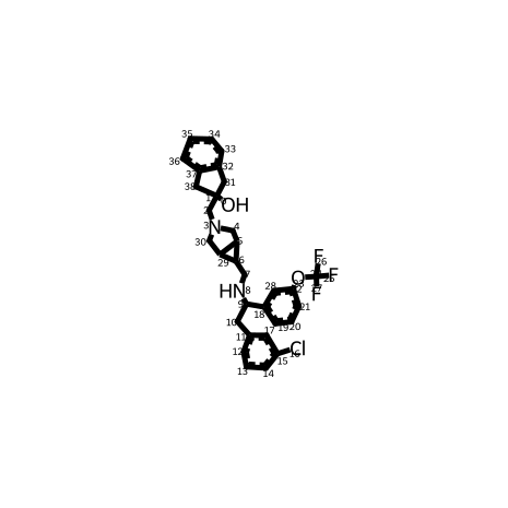 OC1(CN2CC3C(CNC(Cc4cccc(Cl)c4)c4cccc(OC(F)(F)F)c4)C3C2)Cc2ccccc2C1